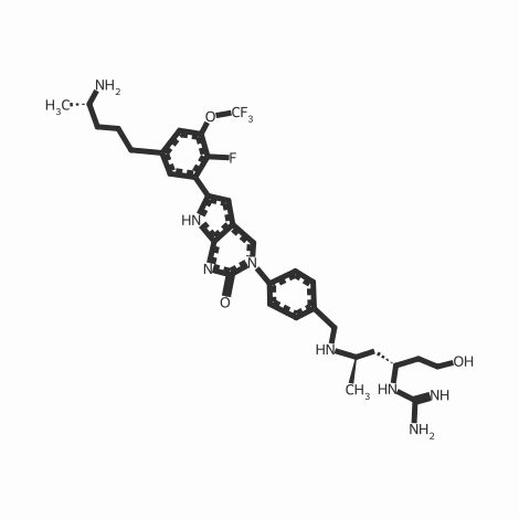 C[C@H](N)CCCc1cc(OC(F)(F)F)c(F)c(-c2cc3cn(-c4ccc(CN[C@H](C)C[C@H](CCO)NC(=N)N)cc4)c(=O)nc3[nH]2)c1